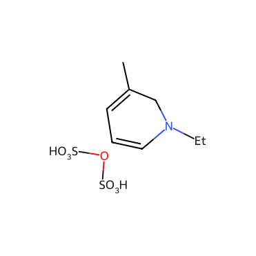 CCN1C=CC=C(C)C1.O=S(=O)(O)OS(=O)(=O)O